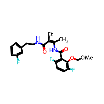 CC/C(C(=O)NCCc1cccc(F)c1)=C(\C)NC(=O)c1c(F)ccc(F)c1OCOC